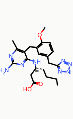 CCCC[C@H](CC(=O)O)Nc1nc(N)nc(C)c1Cc1cc(Cc2nn[nH]n2)ccc1OC